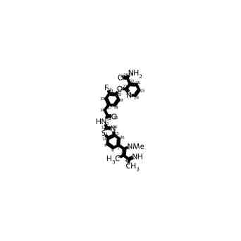 CN/C(=C(/C)C(C)=N)c1ccc2sc(NC(=O)Cc3ccc(Oc4ncccc4C(N)=O)c(F)c3)nc2c1